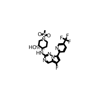 CS(=O)(=O)N1CC[C@@H](Nc2ncc3c(F)cc(-c4ccc(C(F)(F)F)cn4)n3n2)[C@H](O)C1